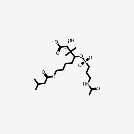 CC(=O)NCCCS(=O)(=O)OC(CCCCOC(=O)CC(C)C)C(C)(C)[C@@H](O)C(=O)O